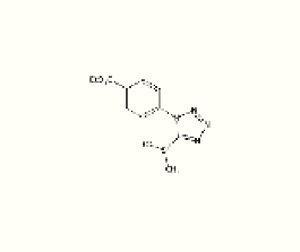 CCOC(=O)c1ccc(-n2nnnc2[S+](C)[O-])cc1